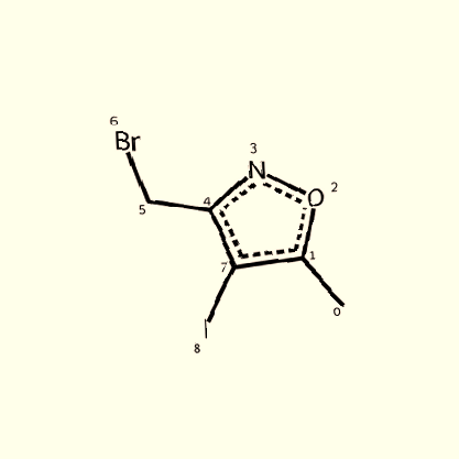 Cc1onc(CBr)c1I